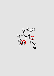 C=CCOc1ccccc1C.CC1CO1